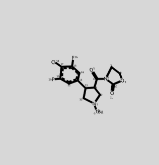 CC(C)(C)N1CC(C(=O)N2CCOC2=O)C(c2cc(F)c(Cl)c(F)c2)C1